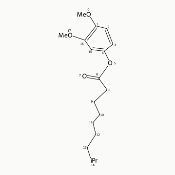 COc1ccc(OC(=O)CCCCCCC(C)C)cc1OC